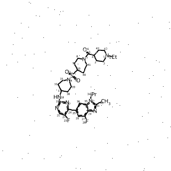 CCN1CCC(C(=O)N2CCC(S(=O)(=O)N3CCC(Nc4ncc(F)c(-c5cc(F)c6nc(C)n(C(C)C)c6c5)n4)CC3)CC2)CC1